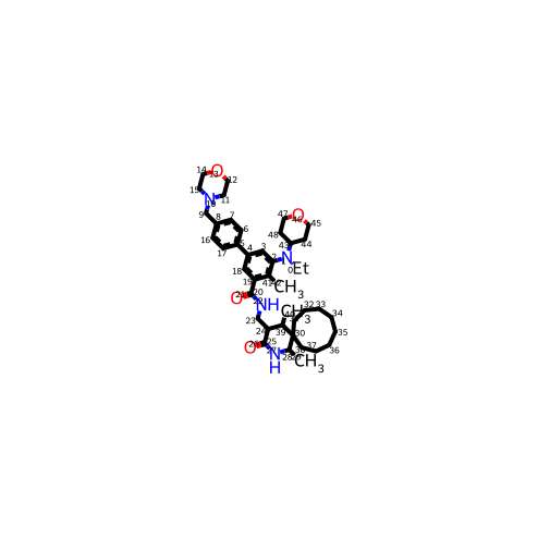 CCN(c1cc(-c2ccc(CN3CCOCC3)cc2)cc(C(=O)NCC2C(=O)NC(C)C3(CCCCCCCC3)C2C)c1C)C1CCOCC1